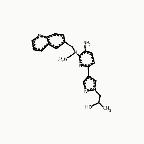 CC(O)Cn1cc(-c2ccc(N)c(N(N)Cc3ccc4ncccc4c3)n2)cn1